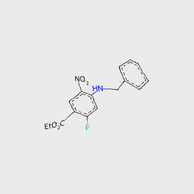 CCOC(=O)c1cc([N+](=O)[O-])c(NCc2ccccc2)cc1F